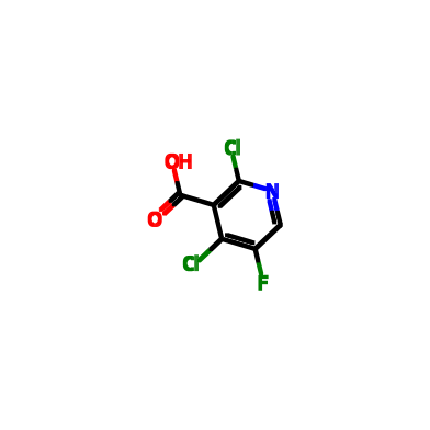 O=C(O)c1c(Cl)ncc(F)c1Cl